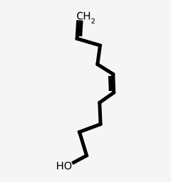 C=CCC/C=C\CCCCO